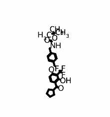 CC(C)(C)OC(=O)NCc1ccc(COc2ccc(C(=O)C3CCCC3)c(O)c2C(F)(F)F)cc1